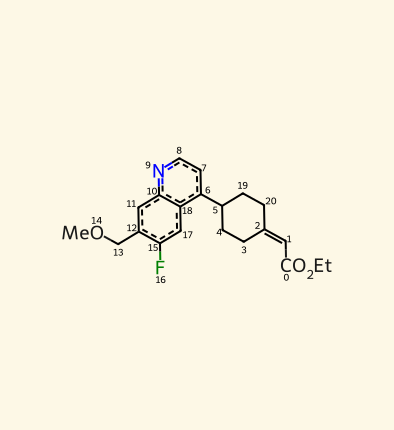 CCOC(=O)C=C1CCC(c2ccnc3cc(COC)c(F)cc23)CC1